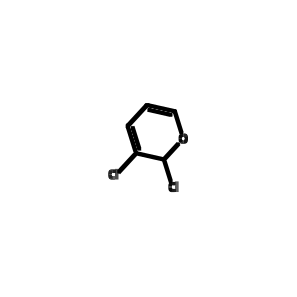 ClC1=CC=COC1Cl